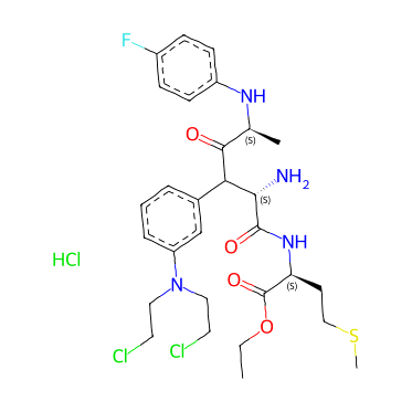 CCOC(=O)[C@H](CCSC)NC(=O)[C@@H](N)C(C(=O)[C@H](C)Nc1ccc(F)cc1)c1cccc(N(CCCl)CCCl)c1.Cl